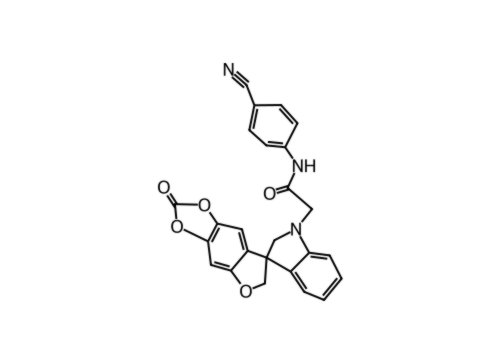 N#Cc1ccc(NC(=O)CN2CC3(COc4cc5oc(=O)oc5cc43)c3ccccc32)cc1